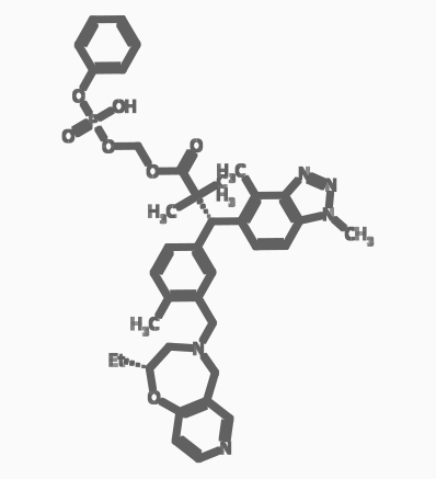 CC[C@@H]1CN(Cc2cc([C@@H](c3ccc4c(nnn4C)c3C)C(C)(C)C(=O)OCOP(=O)(O)Oc3ccccc3)ccc2C)Cc2cnccc2O1